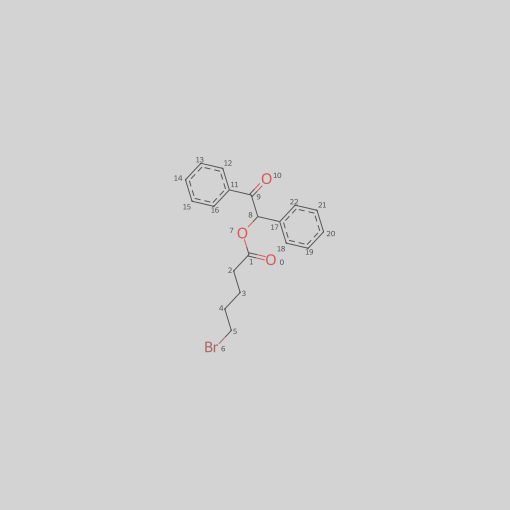 O=C(CCCCBr)OC(C(=O)c1ccccc1)c1ccccc1